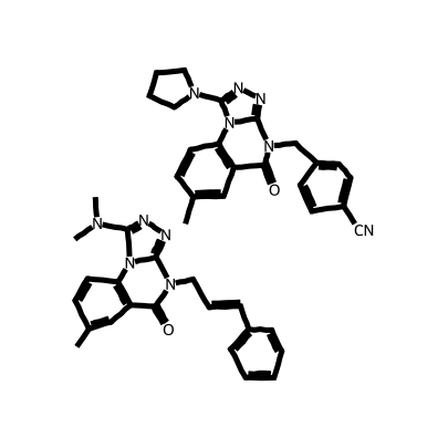 Cc1ccc2c(c1)c(=O)n(C/C=C/c1ccccc1)c1nnc(N(C)C)n21.Cc1ccc2c(c1)c(=O)n(Cc1ccc(C#N)cc1)c1nnc(N3CCCC3)n21